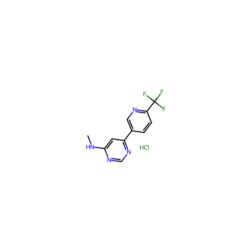 CNc1cc(-c2ccc(C(F)(F)F)nc2)ncn1.Cl